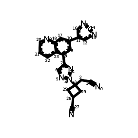 N#CCC1(n2ncc(-c3cc(-c4cncnc4)cc4ncccc34)n2)CC(C#N)C1